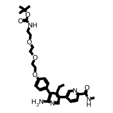 CCc1c(-c2ccc(C(=O)NC)nc2)cnc(N)c1-c1ccc(OCCOCCOCCNC(=O)OC(C)(C)C)cc1